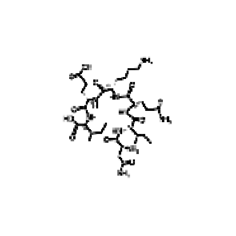 CCC(C)[C@H](NC(=O)[C@H](CCC(=O)O)NC(=O)[C@H](CCCCN)NC(=O)[C@H](CCC(N)=O)NC(=O)[C@@H](NC(=O)C(N)CC(N)=O)C(C)CC)C(=O)O